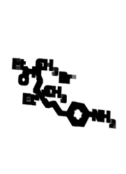 CCC(=O)N(C)CC[N+](C)(CC)CCCc1ccc(N)cc1.[Br-]